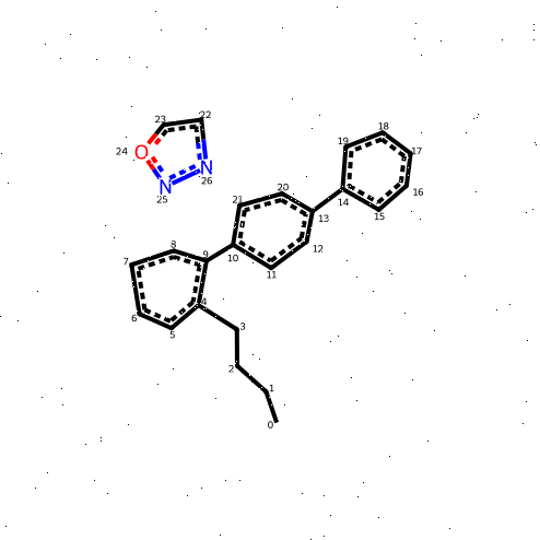 CCCCc1ccccc1-c1ccc(-c2ccccc2)cc1.c1conn1